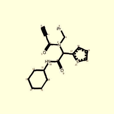 C#CC(=O)N(CC(C)C)C(C(=O)NC1CCCCC1)c1cccs1